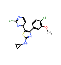 COc1cc(-c2nc(NC3CC3)sc2-c2ccnc(Cl)n2)ccc1Cl